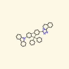 c1ccc(C2(c3ccccc3)c3cc(-c4nnc5c6ccccc6ccn45)ccc3-c3ccc(-n4c5ccccc5c5ccccc54)cc32)cc1